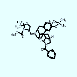 CC(C)(C)OC(=O)N1[C@H](CN2CCC34c5cc(O[Si](C)(C)C(C)(C)C)ccc5CC2C32CCC3C4[C@@H](CN3C(=O)c3ccccc3)C2)COC1(C)C